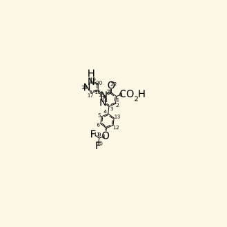 O=C(O)c1cc(-c2ccc(OC(F)F)cc2)nn(-c2cn[nH]c2)c1=O